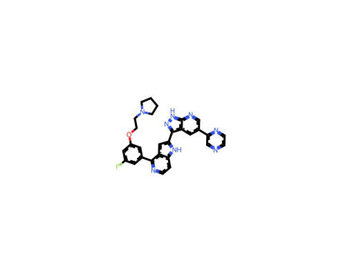 Fc1cc(OCCN2CCCC2)cc(-c2nccc3[nH]c(-c4n[nH]c5ncc(-c6cnccn6)cc45)cc23)c1